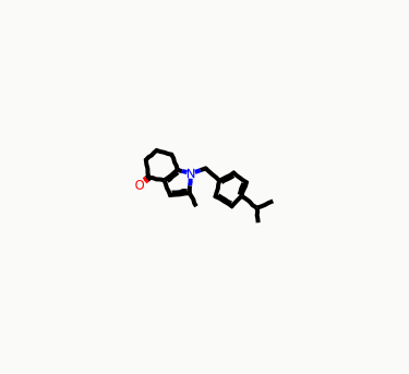 Cc1cc2c(n1Cc1ccc(C(C)C)cc1)CCCC2=O